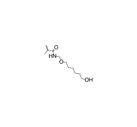 C=C(C)C(=O)NCOCCCCCCO